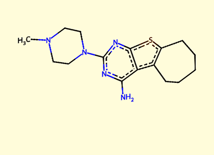 CN1CCN(c2nc(N)c3c4c(sc3n2)CCCCC4)CC1